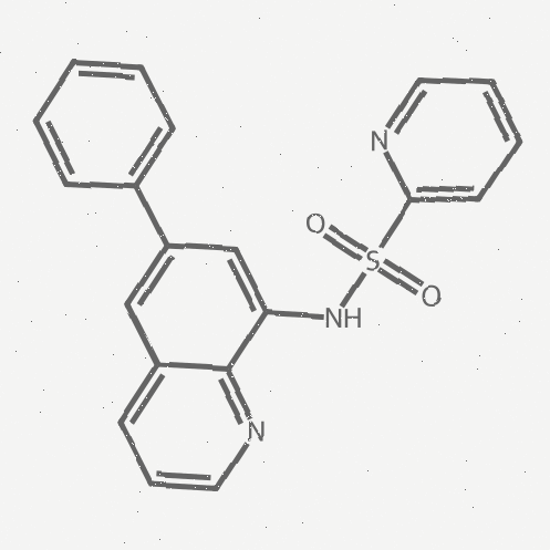 O=S(=O)(Nc1cc(-c2ccccc2)cc2cccnc12)c1ccccn1